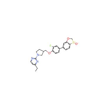 CCc1ccnc(N2CCC(COc3ccc(-c4ccc5c(c4)OC[S+]5[O-])cc3F)C2)n1